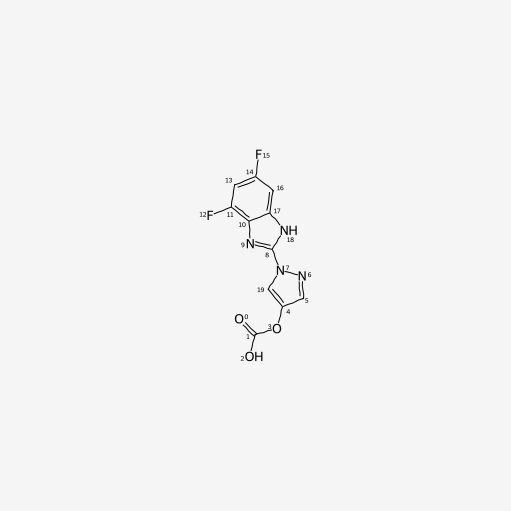 O=C(O)Oc1cnn(-c2nc3c(F)cc(F)cc3[nH]2)c1